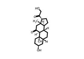 C[C@]12CC[C@H](O)C[C@H]1CC[C@H]1[C@@H]3CC[C@H](C(=O)CO)[C@@]3(C)CC(=O)[C@@H]12